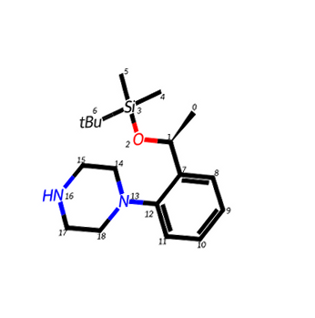 C[C@H](O[Si](C)(C)C(C)(C)C)c1ccccc1N1CCNCC1